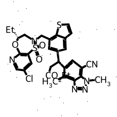 CCOC(=O)CC(c1cc(CN2C[C@@H](CC)Oc3ncc(Cl)cc3S2(=O)=O)c2sccc2c1)c1cc(C#N)c2c(nnn2C)c1C